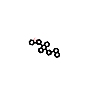 C1=CC2OC3=CCC(C4C5CC=CCC5C(c5cccc(C6CCCC7=C6CCCC7)c5)C5CCCCC54)C=C3C2CC1